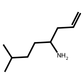 C=CCC(N)CCC(C)C